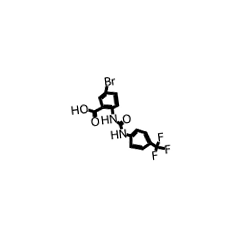 O=C(Nc1ccc(C(F)(F)F)cc1)Nc1ccc(Br)cc1C(=O)O